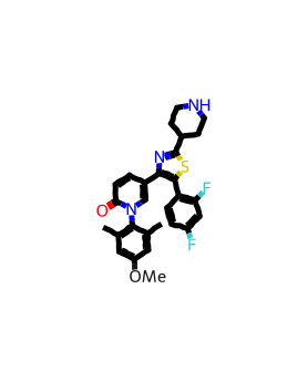 COc1cc(C)c(-n2cc(-c3nc(C4CCNCC4)sc3-c3ccc(F)cc3F)ccc2=O)c(C)c1